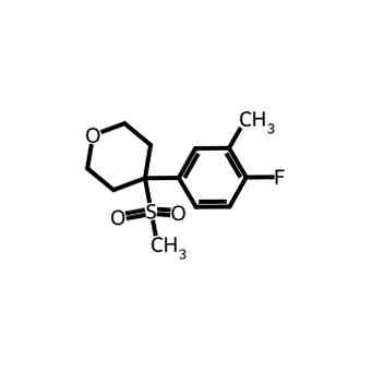 Cc1cc(C2(S(C)(=O)=O)CCOCC2)ccc1F